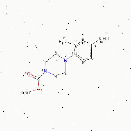 CCCCOC(=O)N1CCN(c2ccc(C=O)cc2C(F)(F)F)CC1